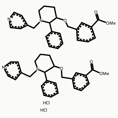 COC(=O)c1cccc(COC2CCCN(Cc3ccncc3)C2c2ccccc2)c1.COC(=O)c1cccc(COC2CCCN(Cc3ccncc3)C2c2ccccc2)c1.Cl.Cl